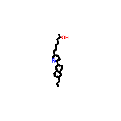 C=CCc1ccc2cc(-c3ccc(/C=C/CCCC(C)O)cn3)ccc2c1